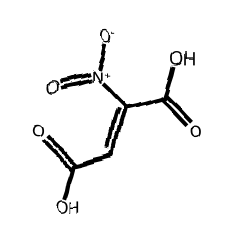 O=C(O)C=C(C(=O)O)[N+](=O)[O-]